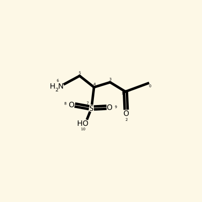 CC(=O)CC(CN)S(=O)(=O)O